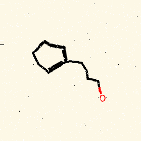 [O]CCCC1=CCCCC1